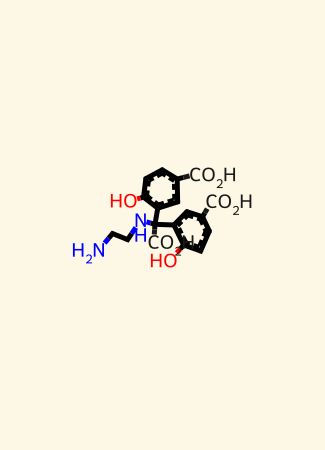 NCCNC(C(=O)O)(c1cc(C(=O)O)ccc1O)c1cc(C(=O)O)ccc1O